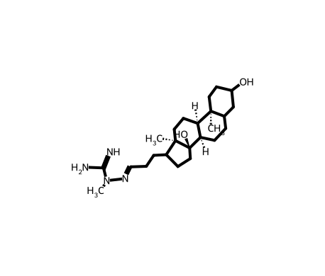 CN(/N=C/CCC1CC[C@@]2(O)[C@@H]3CCC4CC(O)CC[C@]4(C)[C@@H]3CC[C@]12C)C(=N)N